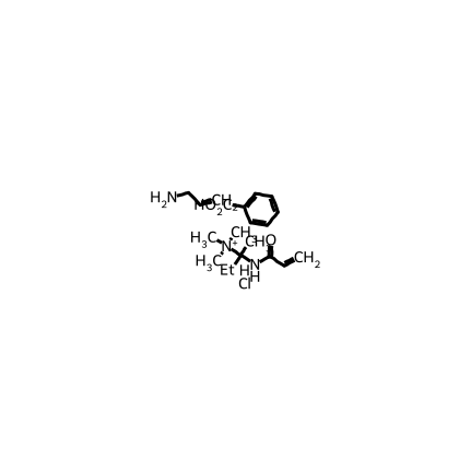 C=CC(=O)NC(C)(CC)[N+](C)(C)C.C=CCN.Cl.O=C(O)c1ccccc1